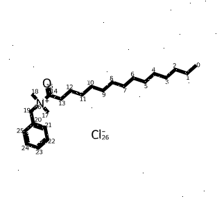 CCCCCCCCCCCCCCC(=O)[N+](C)(C)Cc1ccccc1.[Cl-]